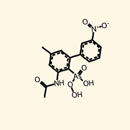 CC(=O)Nc1cc(C)cc(-c2cccc([N+](=O)[O-])c2)c1[As](=O)(O)OO